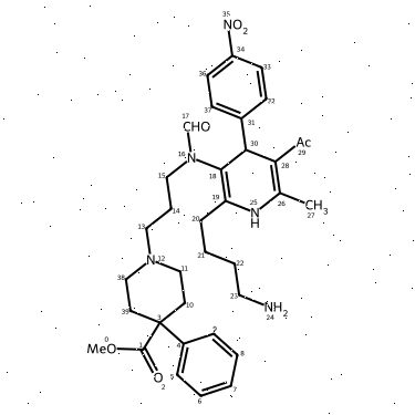 COC(=O)C1(c2ccccc2)CCN(CCCN(C=O)C2=C(CCCCN)NC(C)=C(C(C)=O)C2c2ccc([N+](=O)[O-])cc2)CC1